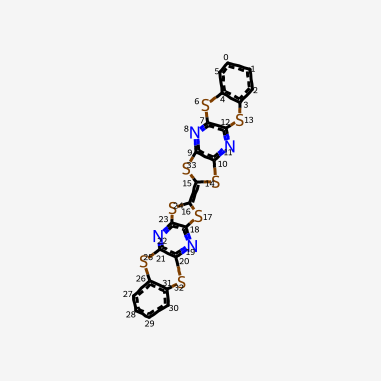 c1ccc2c(c1)Sc1nc3c(nc1S2)SC(=C1Sc2nc4c(nc2S1)Sc1ccccc1S4)S3